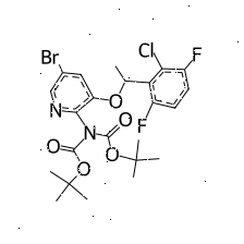 CC(Oc1cc(Br)cnc1N(C(=O)OC(C)(C)C)C(=O)OC(C)(C)C)c1c(F)ccc(F)c1Cl